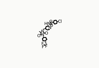 CC1C(=O)N(c2ccc(SC(F)(F)F)cc2)C(=O)N1Cc1ccnc(NS(=O)(=O)c2ccc(Cl)cc2)c1